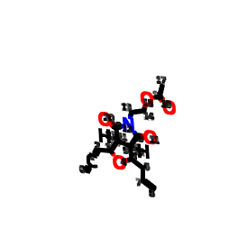 C=C=CC1OC(CC=C)[C@@H]2C(=O)N(CCOC(C)=O)C(=O)[C@H]12